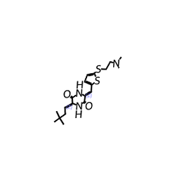 CN(C)CCSc1ccc(/C=c2\[nH]c(=O)/c(=C/CC(C)(C)C)[nH]c2=O)s1